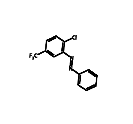 FC(F)(F)c1ccc(Cl)c(N=Nc2ccccc2)c1